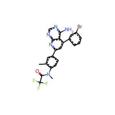 Cc1cc(-c2cc(-c3cccc(Br)c3)c3c(N)ncnc3n2)ccc1N(C)C(=O)C(F)(F)F